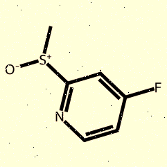 C[S+]([O-])c1[c]c(F)ccn1